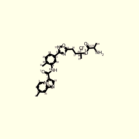 Cc1ccn2c(C(=O)Nc3cc(-c4noc(CC[C@](C)(OC(=O)C(C)N)C(F)(F)F)n4)ccc3C)cnc2c1